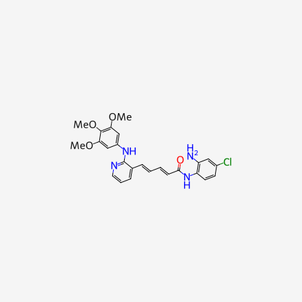 COc1cc(Nc2ncccc2/C=C/C=C/C(=O)Nc2ccc(Cl)cc2N)cc(OC)c1OC